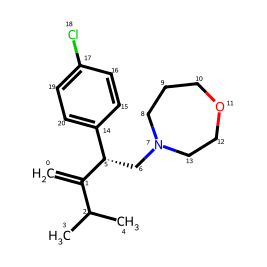 C=C(C(C)C)[C@@H](CN1CCCOCC1)c1ccc(Cl)cc1